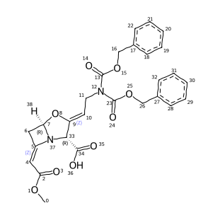 COC(=O)/C=C1/C[C@H]2O/C(=C\CN(C(=O)OCc3ccccc3)C(=O)OCc3ccccc3)[C@H](C(=O)O)N12